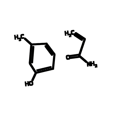 C=CC(N)=O.Cc1cccc(O)c1